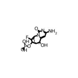 Nc1cc2n(c(=O)n1)C1OC(C(O[PH](=O)O)C1F)[C@@H]2O